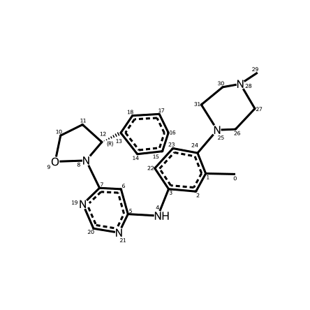 Cc1cc(Nc2cc(N3OCC[C@@H]3c3ccccc3)ncn2)ccc1N1CCN(C)CC1